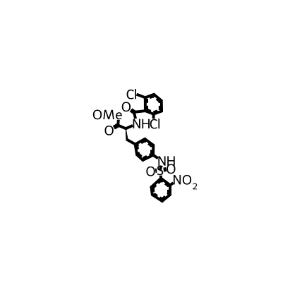 COC(=O)[C@H](Cc1ccc(NS(=O)(=O)c2ccccc2[N+](=O)[O-])cc1)NC(=O)c1c(Cl)cccc1Cl